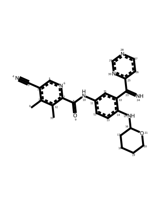 Cc1c(C#N)cnc(C(=O)Nc2ccc(NC3CCCCO3)c(C(=N)c3ccncn3)c2)c1C